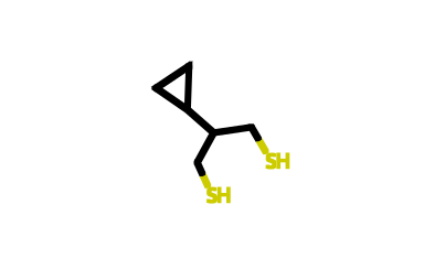 SCC(CS)C1CC1